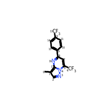 Cc1cnn2c(C(F)(F)F)cc(-c3ccc(C(F)(F)F)cc3)nc12